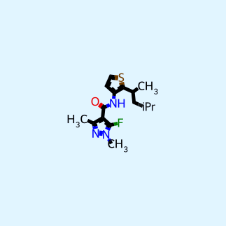 Cc1nn(C)c(F)c1C(=O)Nc1ccsc1C(C)CC(C)C